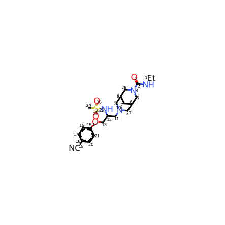 CCNC(=O)N1CC2CC(CN(CC(COc3ccc(C#N)cc3)NS(C)(=O)=O)C2)C1